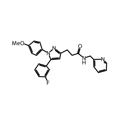 COc1ccc(-n2nc(CCC(=O)NCc3ccccn3)cc2-c2cccc(F)c2)cc1